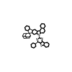 c1ccc(-c2nc(-n3c4cc5c(cc4c4c6ccccc6ccc43)-c3ccccc3C53C4CC5CC(C4)CC3C5)nc3c2sc2ccccc23)cc1